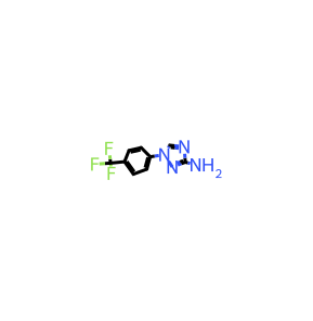 Nc1ncn(-c2ccc(C(F)(F)F)cc2)n1